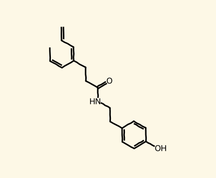 C=C/C=C(\C=C/C)CCC(=O)NCCc1ccc(O)cc1